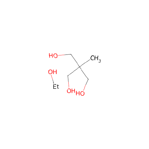 CC(CO)(CO)CO.CCO